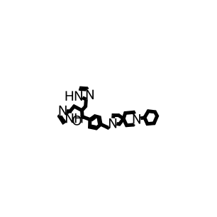 O=C(c1ccc(CN2CCC3(CCN(C4CCCCC4)CC3)C2)cc1)C(Cc1ncc[nH]1)Cc1ncc[nH]1